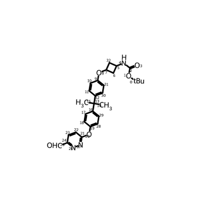 CC(C)(C)OC(=O)NC1CC(Oc2ccc(C(C)(C)c3ccc(Oc4ccc(C=O)nn4)cc3)cc2)C1